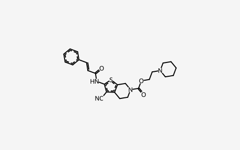 N#Cc1c(NC(=O)C=Cc2ccccc2)sc2c1CCN(C(=O)OCCN1CCCCC1)C2